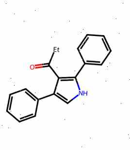 CCC(=O)c1c(-c2ccccc2)c[nH]c1-c1ccccc1